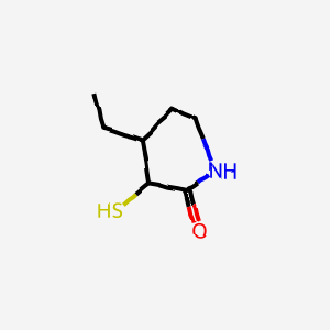 CCC1CCNC(=O)C1S